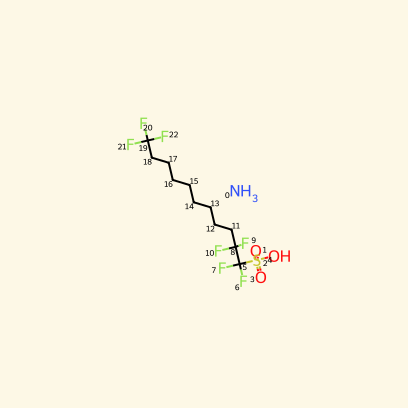 N.O=S(=O)(O)C(F)(F)C(F)(F)CCCCCCCCC(F)(F)F